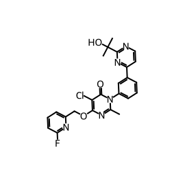 Cc1nc(OCc2cccc(F)n2)c(Cl)c(=O)n1-c1cccc(-c2ccnc(C(C)(C)O)n2)c1